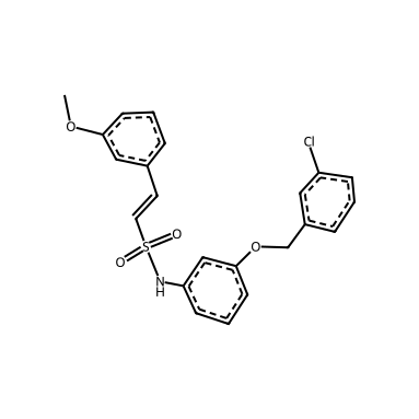 COc1cccc(/C=C/S(=O)(=O)Nc2cccc(OCc3cccc(Cl)c3)c2)c1